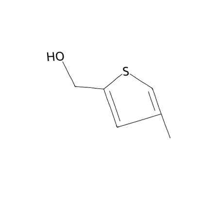 Cc1csc(CO)c1